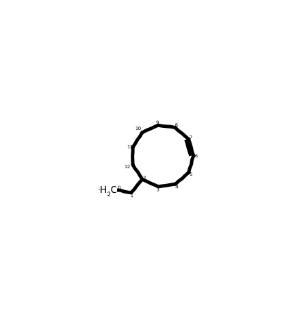 [CH2]CC1CCC/C=C\CCCCC1